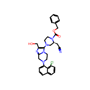 N#CC[C@H]1CN(c2c(CO)nc3n2CCN(c2cccc4cccc(Cl)c24)C3)CCN1C(=O)OCc1ccccc1